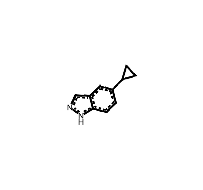 [c]1c(C2CC2)ccc2[nH]ncc12